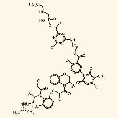 CC(C)OC(=O)c1cc(-n2c(=O)cc(C(F)(F)F)n(C)c2=O)ccc1Cl.CC1COc2ccccc2N1C(=O)C(Cl)Cl.CCNc1nc(Cl)nc(NC(C)C)n1.CCc1cccc(C)c1N(C(=O)CCl)C(C)COC.C[S+](C)C.O=C(O)CNCP(=O)([O-])O